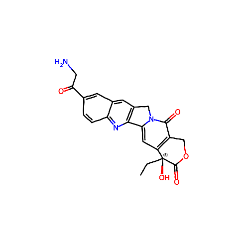 CC[C@@]1(O)C(=O)OCc2c1cc1n(c2=O)Cc2cc3cc(C(=O)CN)ccc3nc2-1